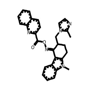 Cc1nccn1CC1CCc2c(c3ccccc3n2C)/C1=N/OC(=O)c1ccc2ccccc2n1